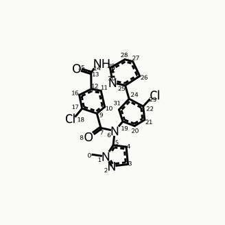 Cn1nccc1N(C(=O)c1ccc(C(N)=O)cc1Cl)c1ccc(Cl)c(-c2ccccn2)c1